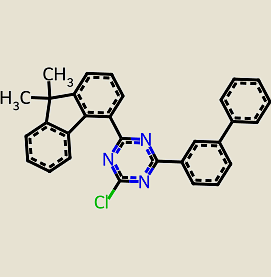 CC1(C)c2ccccc2-c2c(-c3nc(Cl)nc(-c4cccc(-c5ccccc5)c4)n3)cccc21